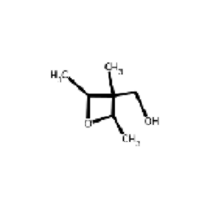 CC1OC(C)C1(C)CO